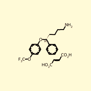 NCCCC[C@@H](Oc1ccc(OC(F)(F)F)cc1)c1ccccc1.O=C(O)C=CC(=O)O